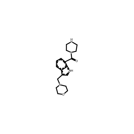 O=C(c1cccc2c(CN3CCOCC3)c[nH]c12)N1CCNCC1